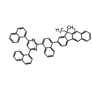 CC1(C)c2cc(-c3ccc(-c4nc(-c5cccc6ccccc56)cc(-c5cccc6ccccc56)n4)c4ccccc34)ccc2-c2cc3ccccc3cc21